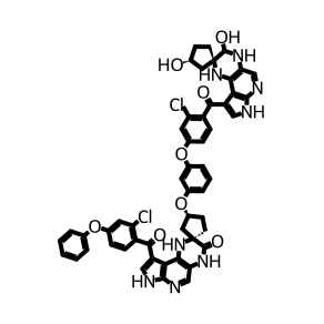 O=C(c1ccc(Oc2ccccc2)cc1Cl)c1c[nH]c2ncc3c(c12)N[C@]1(CC[C@H](Oc2cccc(Oc4ccc(C(=O)c5c[nH]c6ncc7c(c56)N[C@@]5(CC[C@@H](O)C5)C(O)N7)c(Cl)c4)c2)C1)C(=O)N3